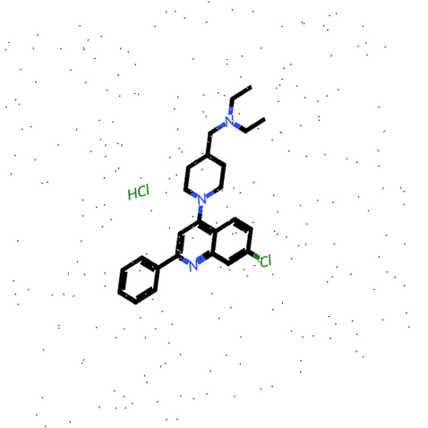 CCN(CC)CC1CCN(c2cc(-c3ccccc3)nc3cc(Cl)ccc23)CC1.Cl